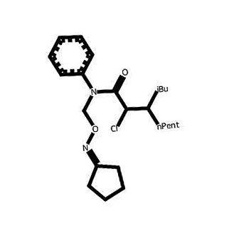 CCCCCC(C(C)CC)C(Cl)C(=O)N(CON=C1CCCC1)c1ccccc1